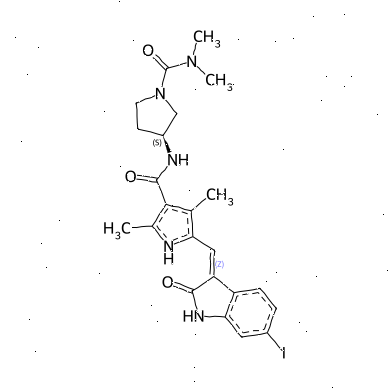 Cc1[nH]c(/C=C2\C(=O)Nc3cc(I)ccc32)c(C)c1C(=O)N[C@H]1CCN(C(=O)N(C)C)C1